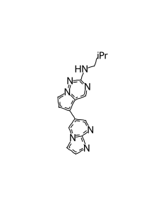 CC(C)CNc1ncc2c(-c3cnc4nccn4c3)ccn2n1